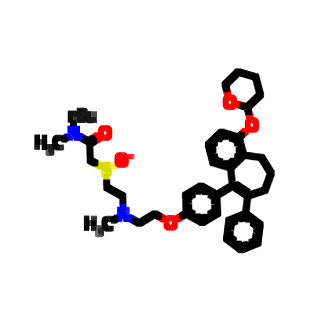 CCCCN(C)C(=O)C[S+]([O-])CCN(C)CCOc1ccc(C2=C(c3ccccc3)CCCc3c(OC4CCCCO4)cccc32)cc1